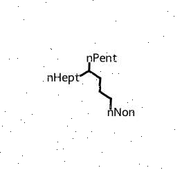 [CH2]CCCCC(CCCCCCC)CCCCCCCCCCCC